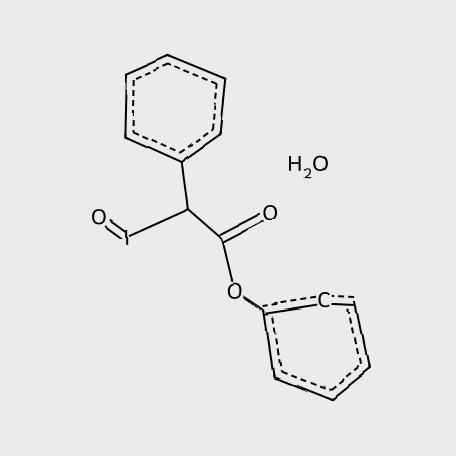 O.O=IC(C(=O)Oc1ccccc1)c1ccccc1